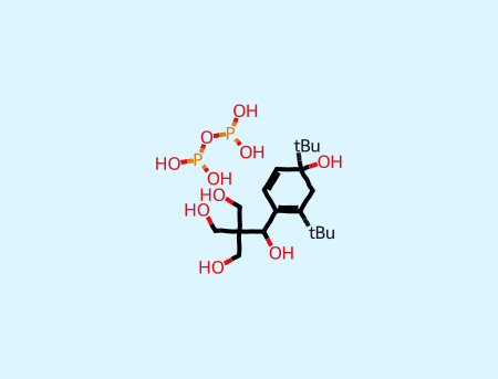 CC(C)(C)C1=C(C(O)C(CO)(CO)CO)C=CC(O)(C(C)(C)C)C1.OP(O)OP(O)O